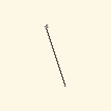 C[Si](C)(Cl)CCCCCCCCCCCCCCCCCCCCCCCCCCCCCCCCCCCCBr